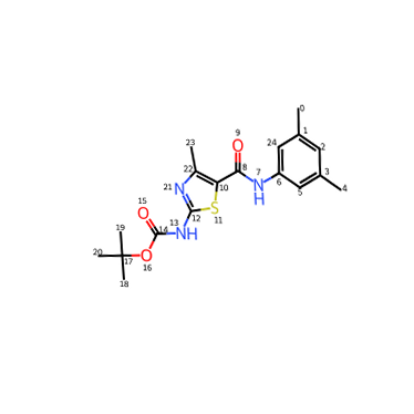 Cc1cc(C)cc(NC(=O)c2sc(NC(=O)OC(C)(C)C)nc2C)c1